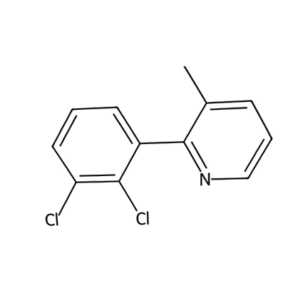 Cc1cccnc1-c1cccc(Cl)c1Cl